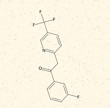 O=C(Cc1ccc(C(F)(F)F)cn1)c1cccc(F)c1